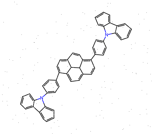 C1=CC2=C(c3ccc(-n4c5ccccc5c5ccccc54)cc3)C=CC3=CC=C4C(c5ccc(-n6c7ccccc7c7ccccc76)cc5)=CC=C1C4C32